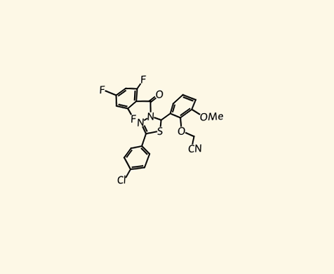 COc1cccc(C2SC(c3ccc(Cl)cc3)=NN2C(=O)c2c(F)cc(F)cc2F)c1OCC#N